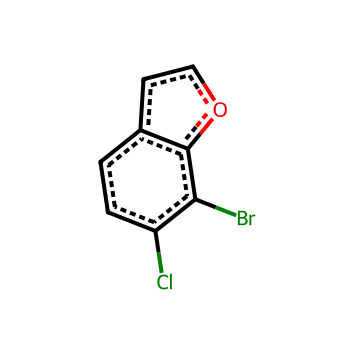 Clc1ccc2ccoc2c1Br